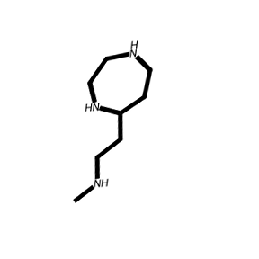 CNCCC1CCNCCN1